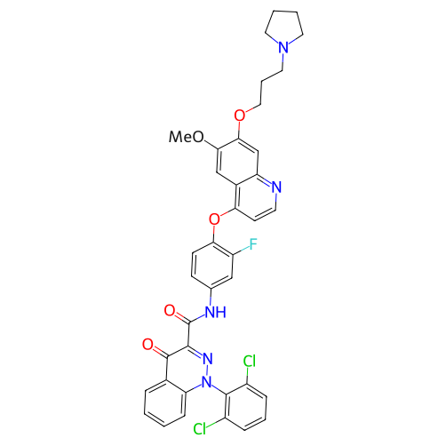 COc1cc2c(Oc3ccc(NC(=O)c4nn(-c5c(Cl)cccc5Cl)c5ccccc5c4=O)cc3F)ccnc2cc1OCCCN1CCCC1